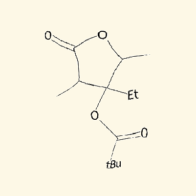 CCC1(OC(=O)C(C)(C)C)C(C)OC(=O)C1C